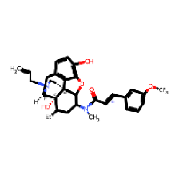 C=CCN1CC[C@]23c4c5ccc(O)c4OC2C(N(C)C(=O)/C=C/c2cccc(OC(F)(F)F)c2)CC(CC)[C@@]3(O)[C@H]1C5